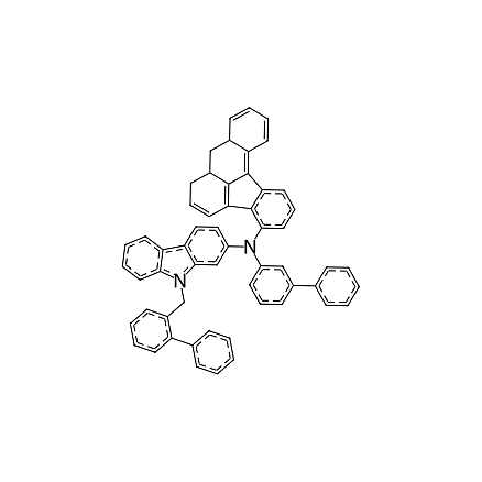 C1=CC2=C3C4=C(C=CCC4CC2C=C1)c1c3cccc1N(c1cccc(-c2ccccc2)c1)c1ccc2c3ccccc3n(Cc3ccccc3-c3ccccc3)c2c1